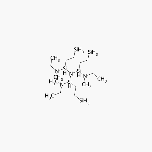 CCN(C)[SiH](CC[SiH3])N([SiH](CC[SiH3])N(C)CC)[SiH](CC[SiH3])N(C)CC